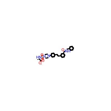 COC(=O)[C@@H](C)NS(=O)(=O)N1CCN(c2ccc(/C=C/c3cccc(C(=O)NCc4ccccc4)c3)cc2)CC1